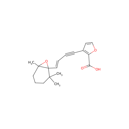 CC1(C)CCCC2(C)OC12/C=C/C#Cc1ccoc1C(=O)O